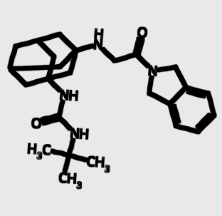 CC(C)(C)NC(=O)NC12CC3CC(CC(NCC(=O)N4Cc5ccccc5C4)(C3)C1)C2